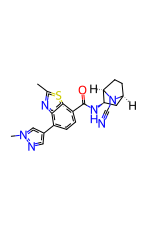 Cc1nc2c(-c3cnn(C)c3)ccc(C(=O)N[C@@H]3C[C@@H]4CC[C@H]3N4C#N)c2s1